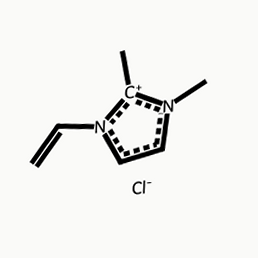 C=Cn1ccn(C)[c+]1C.[Cl-]